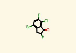 O=C1c2c(Cl)c(F)cc(Br)c2CC1F